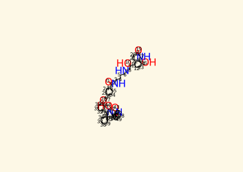 O=C(NCCCCNC[C@H](O)c1ccc(O)c2[nH]c(=O)ccc12)c1ccc(COc2cccc(C(c3ccccc3)N(C(=O)O)[C@H]3CN4CCC3CC4)c2)cc1